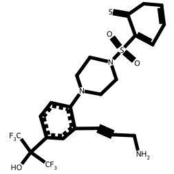 NCC#Cc1cc(C(O)(C(F)(F)F)C(F)(F)F)ccc1N1CCN(S(=O)(=O)C2=CC=CCC2=S)CC1